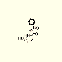 CC(C)C[C@H](NC(=O)O)C(=O)N[S+]([O-])c1ccccc1